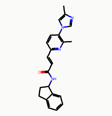 Cc1cn(-c2ccc(/C=C/C(=O)NC3CCc4ccccc43)nc2C)cn1